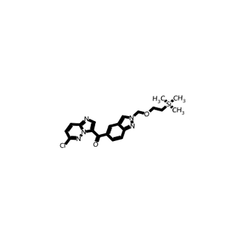 C[Si](C)(C)CCOCn1cc2cc(C(=O)c3cnc4ccc(Cl)nn34)ccc2n1